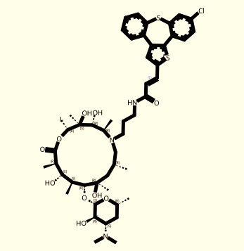 C[C@H]1CN(CCCNC(=O)/C=C/c2cc3c(s2)-c2ccc(Cl)cc2Sc2ccccc2-3)[C@H](C)[C@@H](O)[C@](C)(O)[C@@H](I)OC(=O)[C@H](C)[C@@H](O)[C@H](C)[C@@H](O[C@@H]2O[C@H](C)C[C@H](N(C)C)[C@H]2O)[C@](C)(O)C1